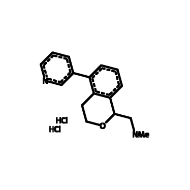 CNCC1OCCc2c(-c3cccnc3)cccc21.Cl.Cl